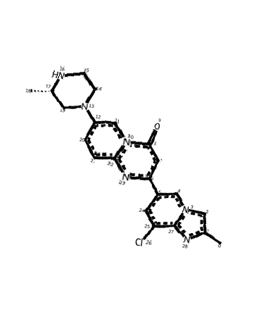 Cc1cn2cc(-c3cc(=O)n4cc(N5CCN[C@@H](C)C5)ccc4n3)cc(Cl)c2n1